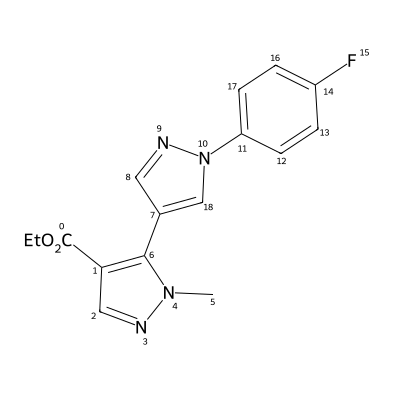 CCOC(=O)c1cnn(C)c1-c1cnn(-c2ccc(F)cc2)c1